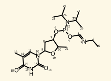 CC/N=C/OP(O[C@@H]1CC(n2cc(C)c(=O)[nH]c2=O)OC1C)N(C(C)C)C(C)C